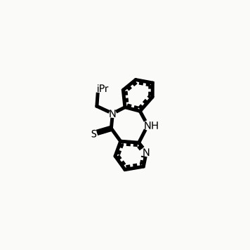 CC(C)CN1C(=S)c2cccnc2Nc2ccccc21